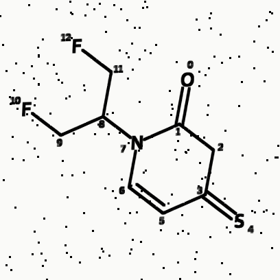 O=C1CC(=S)C=CN1C(CF)CF